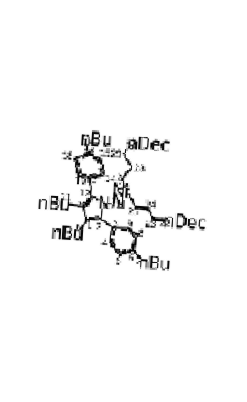 CCCCC1=C(c2ccc(CCCC)cc2)[N+](=[N-])C(c2ccc(CCCC)cc2)=C1CCCC.CCCCCCCCCCCC[CH2][Ni][CH2]CCCCCCCCCCCC